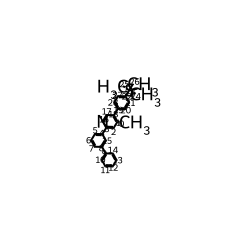 Cc1cc(-c2cccc(-c3ccccc3)c2)ncc1-c1ccc(S(C)(C)C)cc1